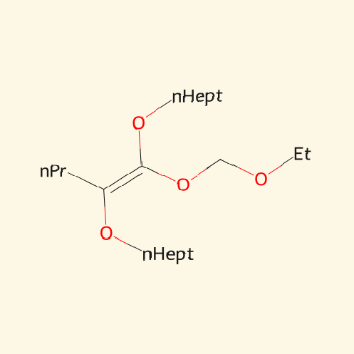 CCCCCCCOC(CCC)=C(OCCCCCCC)OCOCC